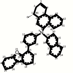 C[C@@H]1CC=Cc2c1cc(N(c1cccc(-c3cccc4c3oc3ccccc34)c1)c1ccc3ccccc3c1)c1ccccc21